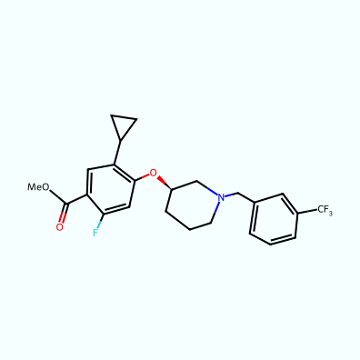 COC(=O)c1cc(C2CC2)c(O[C@@H]2CCCN(Cc3cccc(C(F)(F)F)c3)C2)cc1F